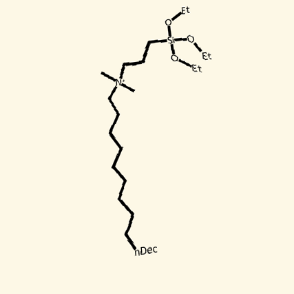 CCCCCCCCCCCCCCCCCCC[N+](C)(C)CCC[Si](OCC)(OCC)OCC